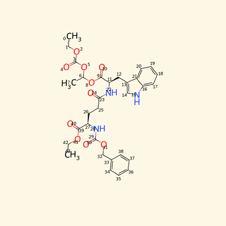 CCOC(=O)OC(C)OC(=O)[C@@H](Cc1c[nH]c2ccccc12)NC(=O)CC[C@@H](NC(=O)OCc1ccccc1)C(=O)OCC